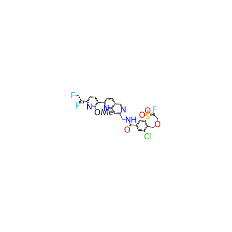 COc1nc([C@@H](F)CF)ccc1-c1ccc2cnc(CNC(=O)c3cc(Cl)c4c(c3)S(=O)(=O)[C@@H](F)COC4)cc2n1